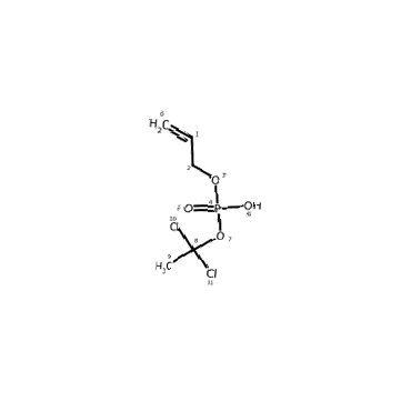 C=CCOP(=O)(O)OC(C)(Cl)Cl